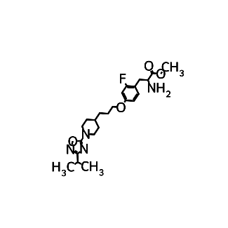 COC(=O)C(N)Cc1ccc(OCCCC2CCN(c3nc(C(C)C)no3)CC2)cc1F